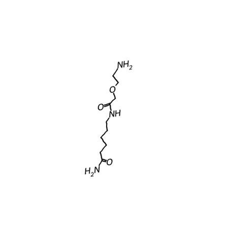 NCCOCC(=O)NCCCCCC(N)=O